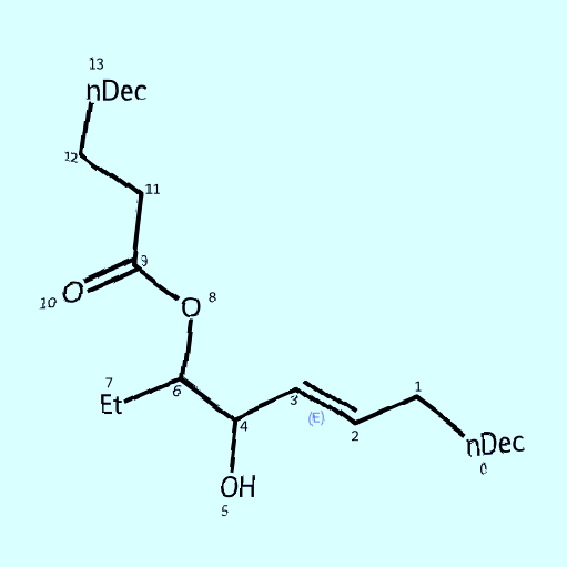 CCCCCCCCCCC/C=C/C(O)C(CC)OC(=O)CCCCCCCCCCCC